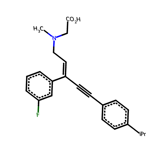 CC(C)c1ccc(C#C/C(=C/CN(C)CC(=O)O)c2cccc(F)c2)cc1